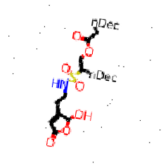 CCCCCCCCCCCC(=O)OCC(CCCCCCCCCC)S(=O)(=O)NCCC1=CC(=O)OC1O